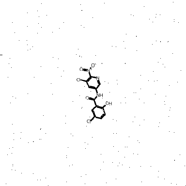 O=C(Nc1cnc([N+](=O)[O-])c(Cl)c1)c1cc(Cl)ccc1O